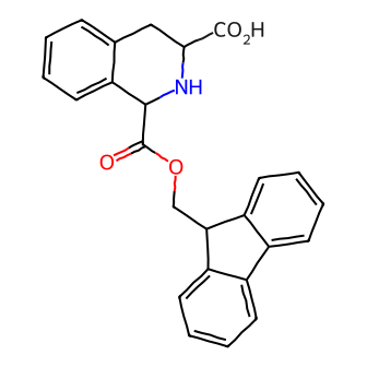 O=C(O)C1Cc2ccccc2C(C(=O)OCC2c3ccccc3-c3ccccc32)N1